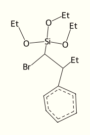 CCO[Si](OCC)(OCC)C(Br)C(CC)c1ccccc1